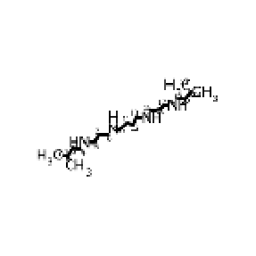 CC(C)CCNCCCNCCCCNCCCNCCC(C)C